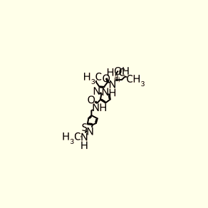 CCc1nc2c(C(=O)NCc3ccc4nc(NC)sc4c3)cccn2c1C(=O)N[C@H](CO)CC(C)C